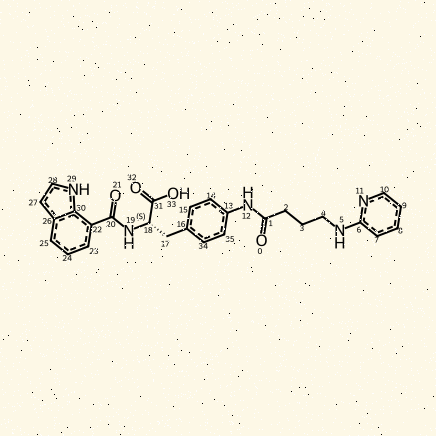 O=C(CCCNc1ccccn1)Nc1ccc(C[C@H](NC(=O)c2cccc3cc[nH]c23)C(=O)O)cc1